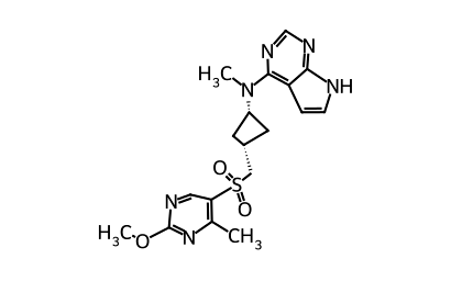 COc1ncc(S(=O)(=O)C[C@H]2C[C@@H](N(C)c3ncnc4[nH]ccc34)C2)c(C)n1